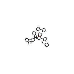 c1ccc(-c2ccccc2-c2ccccc2-c2ccccc2N(c2ccc(-c3cccc4c3ccc3ccccc34)cc2)c2ccc3oc4ccccc4c3c2)cc1